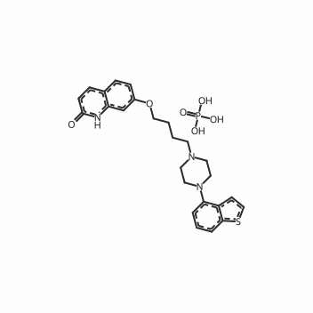 O=P(O)(O)O.O=c1ccc2ccc(OCCCCN3CCN(c4cccc5sccc45)CC3)cc2[nH]1